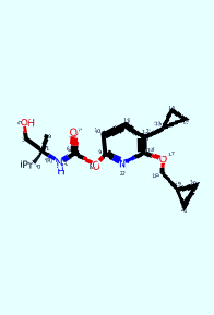 CC(C)[C@](C)(CO)NC(=O)Oc1ccc(C2CC2)c(OCC2CC2)n1